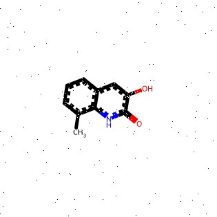 Cc1cccc2cc(O)c(=O)[nH]c12